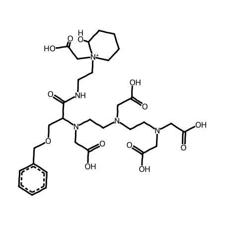 O=C(O)CN(CCN(CC(=O)O)CC(=O)O)CCN(CC(=O)O)C(COCc1ccccc1)C(=O)NCC[N+]1(CC(=O)O)CCCCC1O